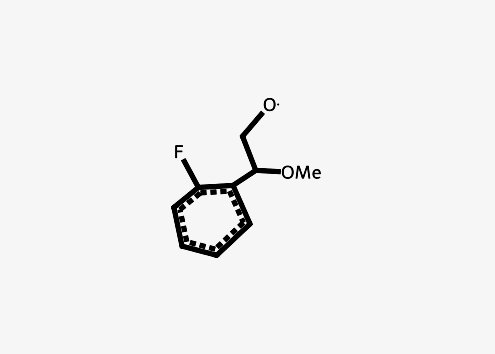 COC(C[O])c1ccccc1F